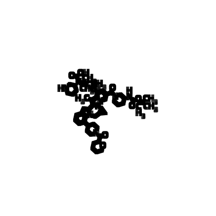 CC(C)(C)N(C(=O)O)[C@@H]1CCCNC1.COc1cc(C(=O)N2CCC[C@@H](NC(=O)OC(C)(C)C)C2)cn2nc(-c3cc4cccc(C5CCN(C(=O)C6CCCCO6)CC5)c4n3CC3CC3)c(C)c12